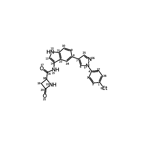 CCc1ccc(-n2cc(-c3ccc4[nH]cc(NC(=O)C5CC(=O)N5)c4c3)cn2)cc1